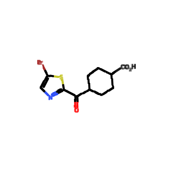 O=C(O)C1CCC(C(=O)c2ncc(Br)s2)CC1